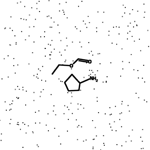 CCOC=O.NC1CCCC1